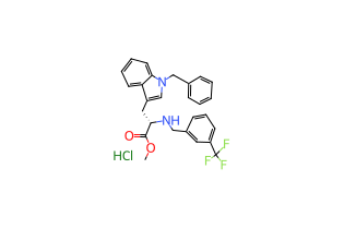 COC(=O)[C@H](Cc1cn(Cc2ccccc2)c2ccccc12)NCc1cccc(C(F)(F)F)c1.Cl